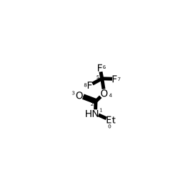 CCNC(=O)OC(F)(F)F